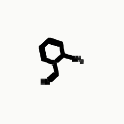 N=CN1C=CC=CC1N